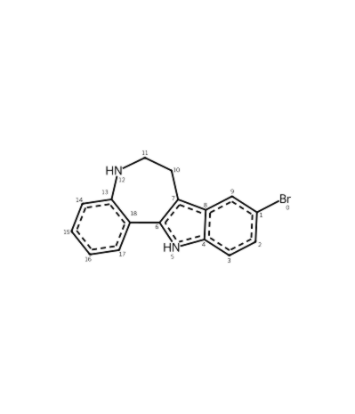 Brc1ccc2[nH]c3c(c2c1)CCNc1ccccc1-3